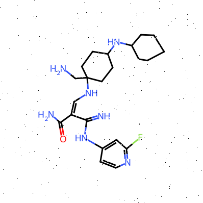 N=C(Nc1ccnc(F)c1)/C(=C\NC1(CN)CCC(NC2CCCCC2)CC1)C(N)=O